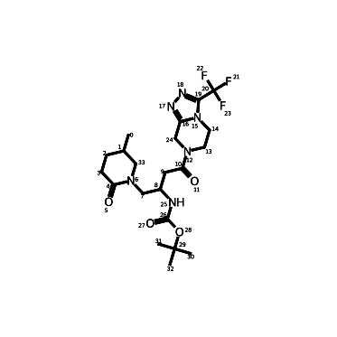 CC1CCC(=O)N(CC(CC(=O)N2CCn3c(nnc3C(F)(F)F)C2)NC(=O)OC(C)(C)C)C1